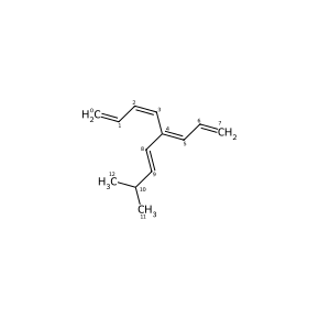 C=C\C=C/C(=C\C=C)/C=C/C(C)C